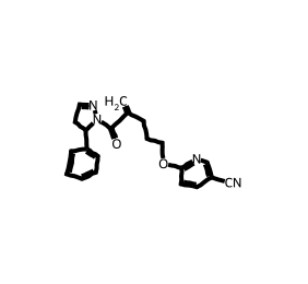 C=C(CCCOc1ccc(C#N)cn1)C(=O)N1N=CCC1c1ccccc1